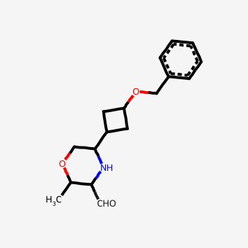 CC1OCC(C2CC(OCc3ccccc3)C2)NC1C=O